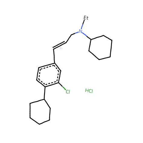 CCN(C/C=C/c1ccc(C2CCCCC2)c(Cl)c1)C1CCCCC1.Cl